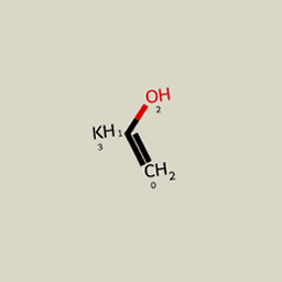 C=CO.[KH]